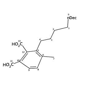 CCCCCCCCCCCCCCc1c(C)ccc(C(=O)O)c1C(=O)O